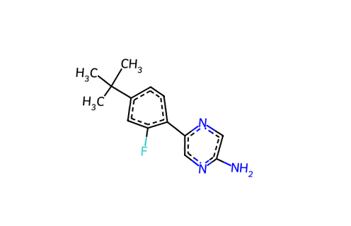 CC(C)(C)c1ccc(-c2cnc(N)cn2)c(F)c1